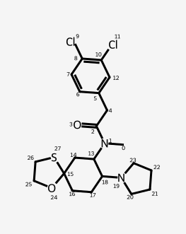 CN(C(=O)Cc1ccc(Cl)c(Cl)c1)C1CC2(CCC1N1CCCC1)OCCS2